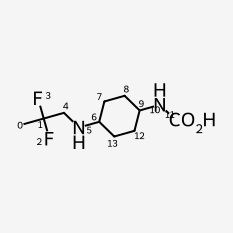 CC(F)(F)CNC1CCC(NC(=O)O)CC1